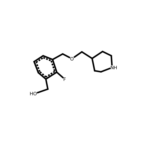 OCc1cccc(COCC2CCNCC2)c1F